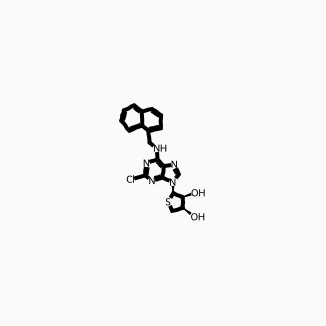 O[C@@H]1[C@H](n2cnc3c(NCc4cccc5ccccc45)nc(Cl)nc32)SC[C@@H]1O